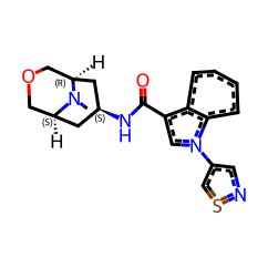 CN1[C@@H]2COC[C@H]1C[C@@H](NC(=O)c1cn(-c3cnsc3)c3ccccc13)C2